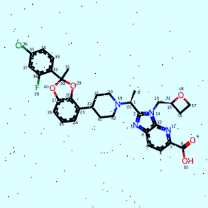 C[C@@H](c1nc2ccc(C(=O)O)nc2n1C[C@@H]1CCO1)N1CCC(c2cccc3c2OC(C)(c2ccc(Cl)cc2F)O3)CC1